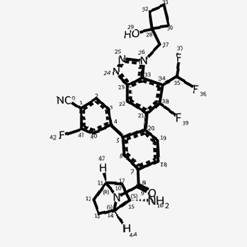 N#Cc1ccc(-c2cc(C(=O)N3[C@@H]4CC[C@H]3[C@@H](N)C4)ccc2-c2cc3nnn(CC4(O)CCC4)c3c(C(F)F)c2F)cc1F